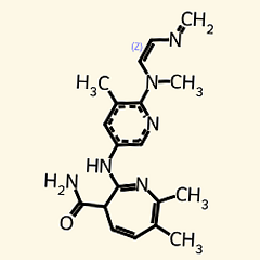 C=N/C=C\N(C)c1ncc(NC2=NC(C)=C(C)C=CC2C(N)=O)cc1C